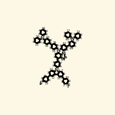 Fc1ccc(-c2ccc3c(c2)c2cc(-c4ccc(F)cc4)ccc2n3-c2ccc(-c3ccc(N(c4ccc(-c5ccc(N(c6ccccc6)c6ccccc6)cc5)cc4)c4ccc(-c5cccc(N(c6ccccc6)c6ccccc6)c5)cc4)c4nsnc34)cc2)cc1